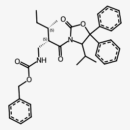 CC[C@H](C)[C@@H](CNC(=O)OCc1ccccc1)C(=O)N1C(=O)OC(c2ccccc2)(c2ccccc2)C1C(C)C